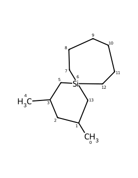 CC1CC(C)C[Si]2(CCCCCC2)C1